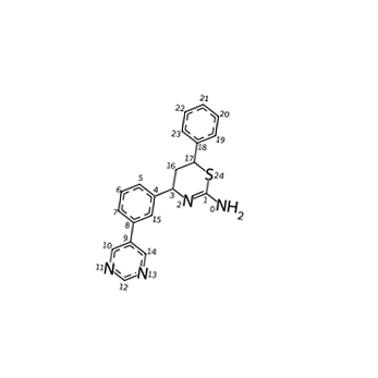 NC1=NC(c2cccc(-c3cncnc3)c2)CC(c2ccccc2)S1